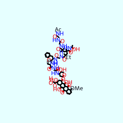 CCC(C)(CC(C)(CC(C)(C)C(=O)NCC(=O)NCC(=O)NCC(C)=O)C(=O)NC(C)O)C(=O)NCC(=O)NC(Cc1ccccc1)C(=O)NC(CC(C)C)C(=O)NCC(=O)NC1CC(OC2C[C@](O)(C(=O)CO)CC3C(O)=C4C(=O)C5C=CC=C(OC)C5C(=O)C4=C(O)C23)OCC1O